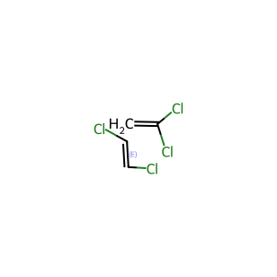 C=C(Cl)Cl.Cl/C=C/Cl